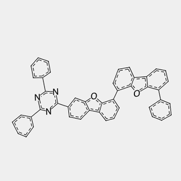 c1ccc(-c2nc(-c3ccccc3)nc(-c3ccc4c(c3)oc3c(-c5cccc6c5oc5c(-c7ccccc7)cccc56)cccc34)n2)cc1